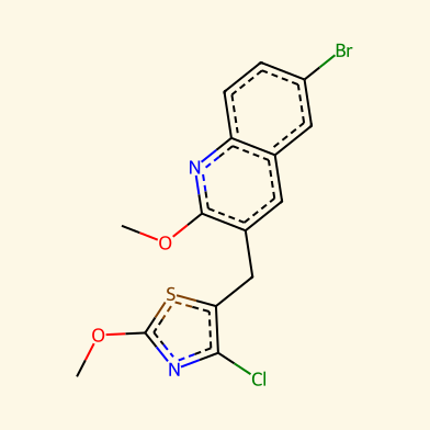 COc1nc(Cl)c(Cc2cc3cc(Br)ccc3nc2OC)s1